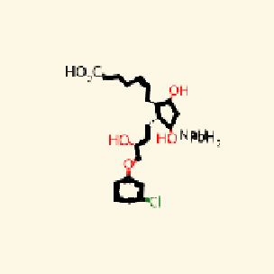 O=C(O)CCC/C=C\C[C@@H]1[C@@H](/C=C/[C@@H](O)COc2cccc(Cl)c2)[C@H](O)C[C@@H]1O.[NaH].[PbH2]